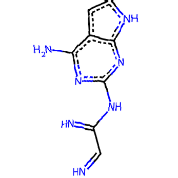 N=CC(=N)Nc1nc(N)c2cc[nH]c2n1